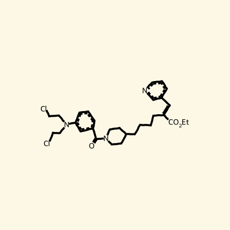 CCOC(=O)/C(=C/c1cccnc1)CCCCC1CCN(C(=O)c2cccc(N(CCCl)CCCl)c2)CC1